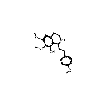 COc1ccc(CCC2NCCc3cc(OC)c(OC)c(O)c32)cc1